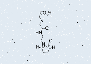 O=C(O)CSCC(=O)NCCN1C(=O)[C@@H]2CC[C@H]1C2